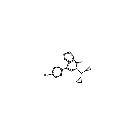 O=c1c2ccccc2c(-c2ccc(Br)cc2)nn1C(C1CC1)C1CC1